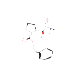 CC(C)(C)N(O)C(=O)[C@@H]1CCCN1C(=O)OCc1ccccc1